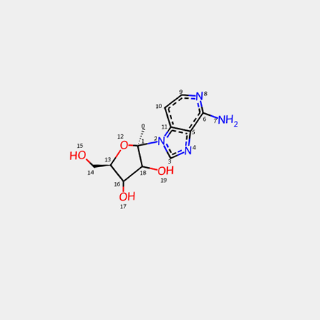 C[C@@]1(n2cnc3c(N)nccc32)O[C@H](CO)C(O)C1O